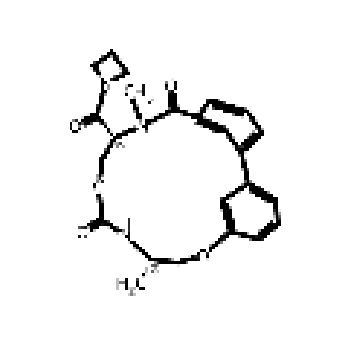 C[C@H]1COc2cccc(c2)-c2cccc(c2)C(=O)N(C)[C@H](C(=O)N2CCC2)CCC(=O)N1